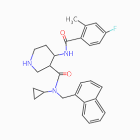 Cc1cc(F)ccc1C(=O)NC1CCNCC1C(=O)N(Cc1cccc2ccccc12)C1CC1